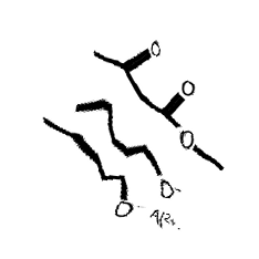 CCCC[O-].CCCC[O-].COC(=O)CC(C)=O.[Al+2]